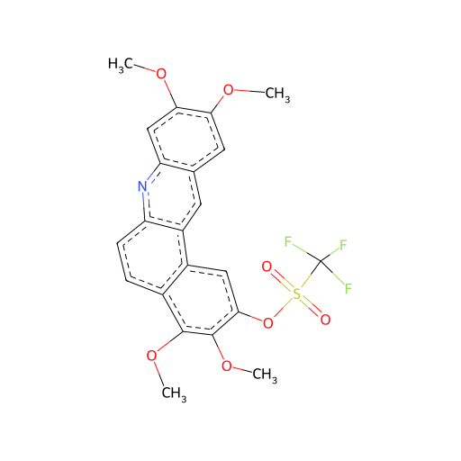 COc1cc2cc3c(ccc4c(OC)c(OC)c(OS(=O)(=O)C(F)(F)F)cc43)nc2cc1OC